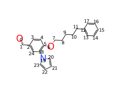 O=Cc1ccc(OCCCCCc2ccccc2)c(-n2cccc2)c1